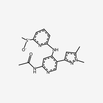 CC(=O)Nc1cc(Nc2cccc([S+](C)[O-])n2)c(-c2cc(C)n(C)n2)cn1